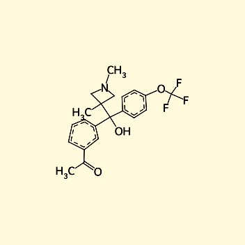 CC(=O)c1cccc(C(O)(c2ccc(OC(F)(F)F)cc2)C2(C)CN(C)C2)c1